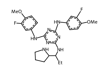 CCC(Nc1nc(Nc2ccc(OC)c(F)c2)nc(Nc2ccc(OC)c(F)c2)n1)C1CCCN1